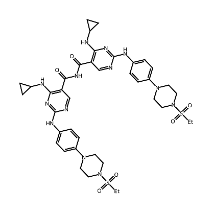 CCS(=O)(=O)N1CCN(c2ccc(Nc3ncc(C(=O)NC(=O)c4cnc(Nc5ccc(N6CCN(S(=O)(=O)CC)CC6)cc5)nc4NC4CC4)c(NC4CC4)n3)cc2)CC1